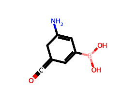 NC1=CC(B(O)O)=CC(=C=O)C1